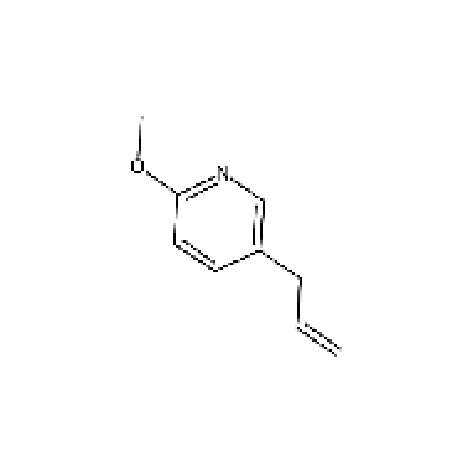 C=CCc1ccc(OC)nc1